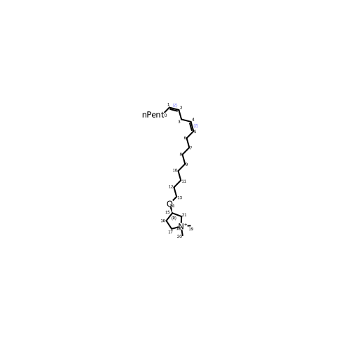 CCCCC/C=C\C/C=C\CCCCCCCCO[C@@H]1CC[N+](C)(C)C1